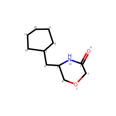 O=C1COCC(CC2CCCCC2)N1